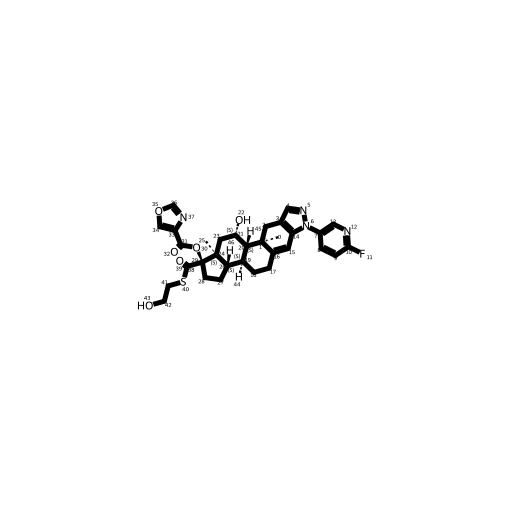 C[C@]12Cc3cnn(-c4ccc(F)nc4)c3C=C1CC[C@@H]1[C@@H]2[C@@H](O)C[C@@]2(C)[C@H]1CC[C@]2(OC(=O)c1cocn1)C(=O)SCCO